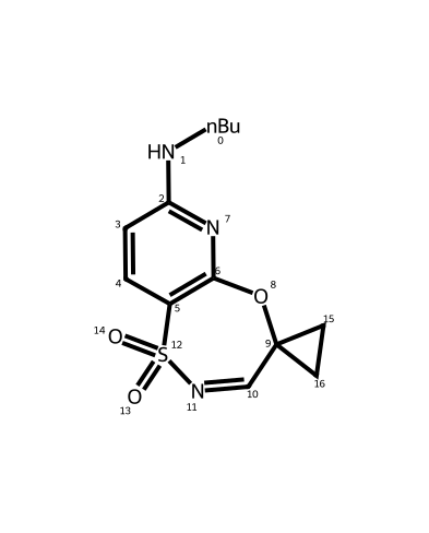 CCCCNc1ccc2c(n1)OC1(C=NS2(=O)=O)CC1